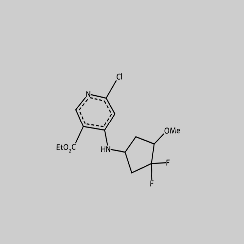 CCOC(=O)c1cnc(Cl)cc1NC1CC(OC)C(F)(F)C1